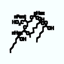 CCCCCCC(=O)O.CCCCCCC(=O)O.CCCCCCC(=O)O.CCCCCCC(=O)OCC(COC(=O)CCCCCC)C(CCCCC)C(=O)O